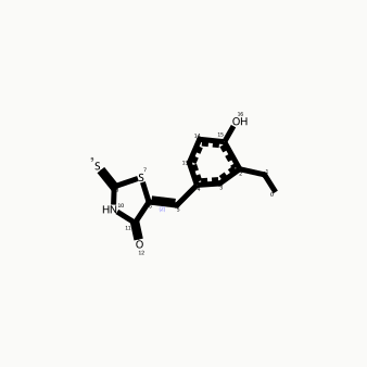 CCc1cc(/C=C2\SC(=S)NC2=O)ccc1O